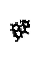 Cc1cc(C(C)c2c[nH]cn2)c2ccccc2n1